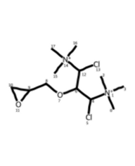 C[N+](C)(C)C(Cl)C(OCC1CO1)C(Cl)[N+](C)(C)C